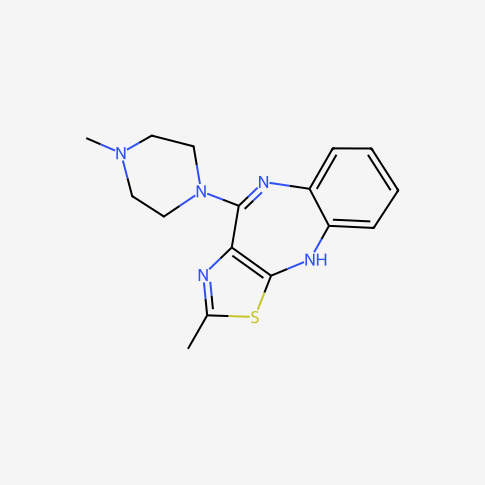 Cc1nc2c(s1)Nc1ccccc1N=C2N1CCN(C)CC1